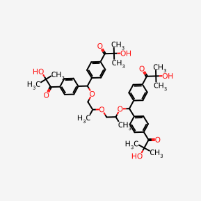 CC(COC(c1ccc(C(=O)C(C)(C)O)cc1)c1ccc(C(=O)C(C)(C)O)cc1)OCC(C)OC(c1ccc(C(=O)C(C)(C)O)cc1)c1ccc(C(=O)C(C)(C)O)cc1